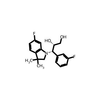 CC1(C)CN([C@@H](c2cccc(F)c2)[C@H](O)CO)c2cc(F)ccc21